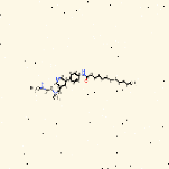 CCCCCCCCCCCC(=O)Nc1ccc(-c2cncc(CN(C)CCNC)c2)cc1